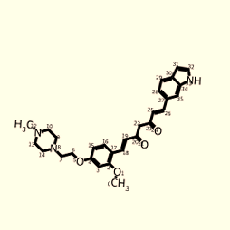 COc1cc(OCCN2CCN(C)CC2)ccc1C=CC(=O)CC(=O)C=Cc1ccc2cc[nH]c2c1